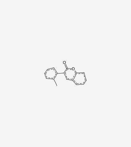 Cc1ccccc1-c1cc2ccccc2oc1=O